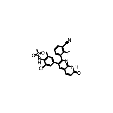 Cc1cc(-c2cc3ccc(=O)[nH]c3nc2-c2cccc(C#N)c2F)cc(Cl)c1NS(C)(=O)=O